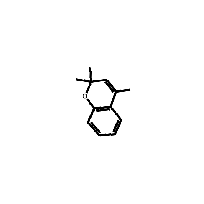 CC1=CC(C)(C)Oc2ccc[c]c21